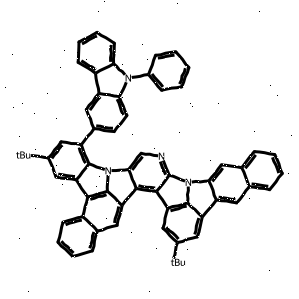 CC(C)(C)c1cc(-c2ccc3c(c2)c2ccccc2n3-c2ccccc2)c2c(c1)c1c3ccccc3cc3c4c5c6cc(C(C)(C)C)cc7c8cc9ccccc9cc8n(c5ncc4n2c31)c76